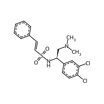 CN(C)C[C@H](NS(=O)(=O)/C=C/c1ccccc1)c1ccc(Cl)c(Cl)c1